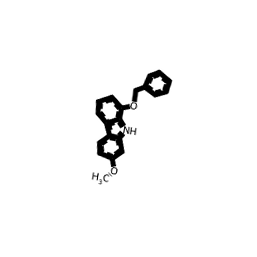 COc1ccc2c(c1)[nH]c1c(OCc3ccccc3)cccc12